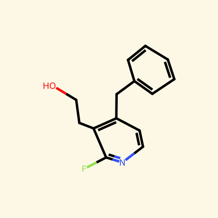 OCCc1c(Cc2ccccc2)ccnc1F